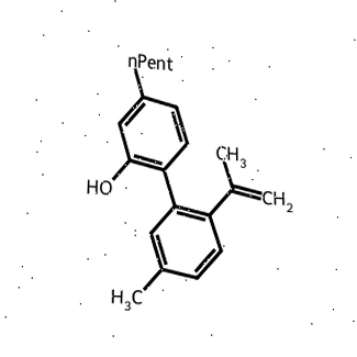 C=C(C)c1ccc(C)cc1-c1ccc(CCCCC)cc1O